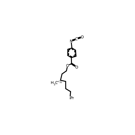 CC(C)CCC[C@H](C)CCOC(=O)c1ccc(N=C=O)cc1